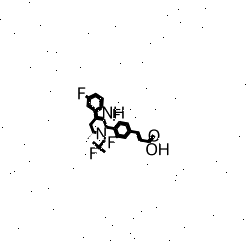 C[C@@H]1Cc2c([nH]c3ccc(F)cc23)C(c2c(F)cc(/C=C/C(=O)O)cc2F)N1CC(C)(C)F